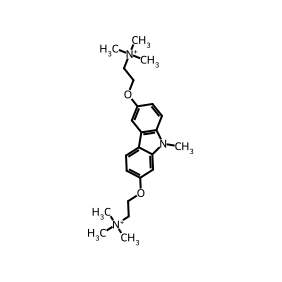 Cn1c2ccc(OCC[N+](C)(C)C)cc2c2ccc(OCC[N+](C)(C)C)cc21